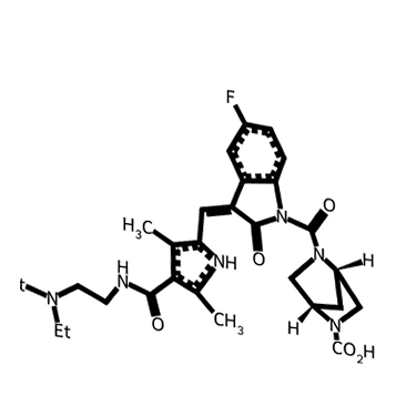 CCN(CC)CCNC(=O)c1c(C)[nH]c(/C=C2\C(=O)N(C(=O)N3C[C@@H]4C[C@H]3CN4C(=O)O)c3ccc(F)cc32)c1C